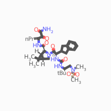 CCCC(NC(=O)[C@@H]1[C@@H]2[C@H](CN1C(=O)[C@@H](NC(=O)N[C@H](CN(C)S(C)(=O)=O)C(C)(C)C)C1Cc3ccccc3C1)C2(C)C)C(=O)C(N)=O